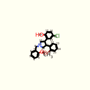 COc1ccccc1CN1CC(c2cc(Cl)ccc2O)C(c2ccccc2Br)C1